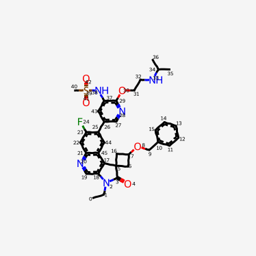 CCN1C(=O)C2(CC(OCc3ccccc3)C2)c2c1cnc1cc(F)c(-c3cnc(OCCNC(C)C)c(NS(C)(=O)=O)c3)cc21